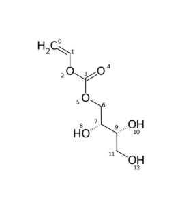 C=COC(=O)OC[C@@H](O)[C@H](O)CO